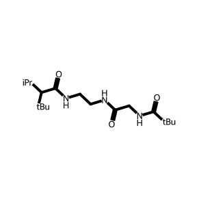 CC(C)C(C(=O)NCCNC(=O)CNC(=O)C(C)(C)C)C(C)(C)C